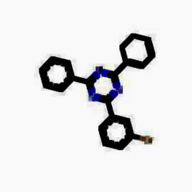 Brc1cccc(-c2nc(C3=CC=CCC3)nc(-c3ccccc3)n2)c1